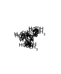 COC(=O)[C@@]1(OCc2cn(CCN(CCn3cc(CO[C@]4(C)C[C@@H](O)[C@@H](C)C(C(O)C(O)CO)O4)nn3)CCn3cc(CO[C@]4(C)C[C@@H](O)[C@@H](C)C(C(O)C(O)CO)O4)nn3)nn2)C[C@@H](O)[C@@H](NC(C)=O)C(C(O)C(O)CO)O1